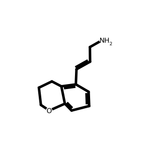 NCC=Cc1cccc2c1CCCO2